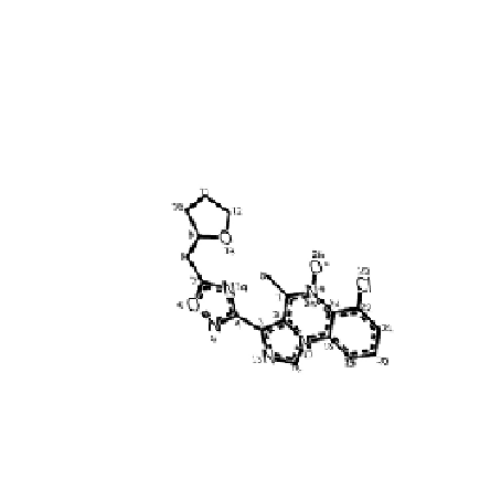 Cc1c2c(-c3noc(CC4CCCO4)n3)ncn2c2cccc(Cl)c2[n+]1[O-]